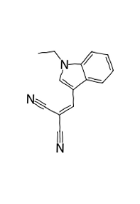 CCn1cc(C=C(C#N)C#N)c2ccccc21